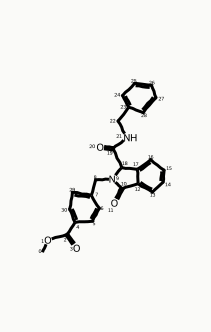 COC(=O)c1ccc(CN2C(=O)c3ccccc3C2C(=O)NCc2ccccc2)cc1